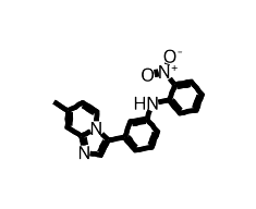 Cc1ccn2c(-c3cccc(Nc4ccccc4[N+](=O)[O-])c3)cnc2c1